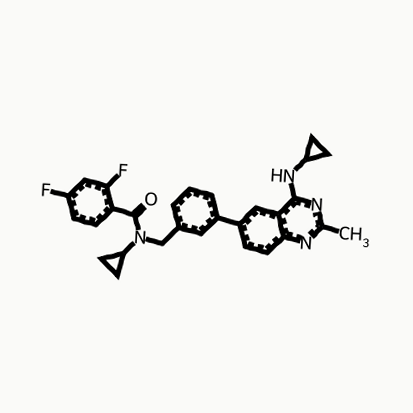 Cc1nc(NC2CC2)c2cc(-c3cccc(CN(C(=O)c4ccc(F)cc4F)C4CC4)c3)ccc2n1